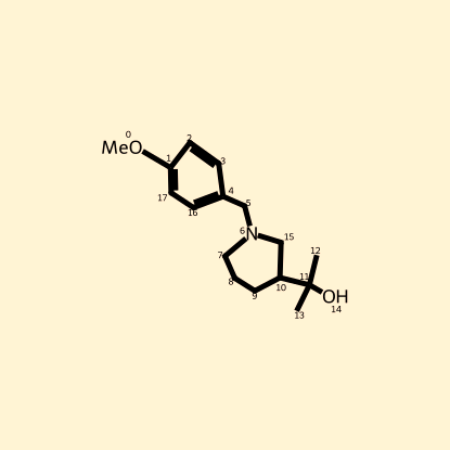 COc1ccc(CN2CCCC(C(C)(C)O)C2)cc1